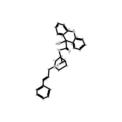 O=C(OC1C[N+]2(C/C=C/c3ccccc3)CCC1CC2)C1(O)c2ccccc2Oc2ccccc21